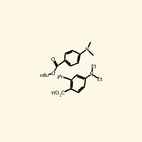 CCCCOC(=O)c1ccc(N(C)C)cc1.CCN(CC)c1ccc(C(=O)O)c(C(C)C)c1